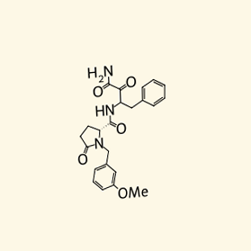 COc1cccc(CN2C(=O)CC[C@@H]2C(=O)NC(Cc2ccccc2)C(=O)C(N)=O)c1